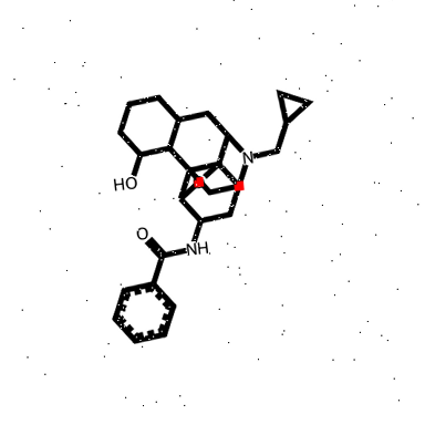 O=C(NC1CCC23OCC1C21CCN(CC2CC2)C3CC2CCCC(O)C21)c1ccccc1